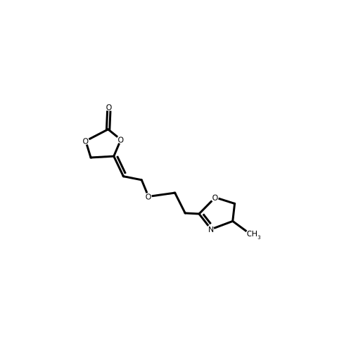 CC1COC(CCOCC=C2COC(=O)O2)=N1